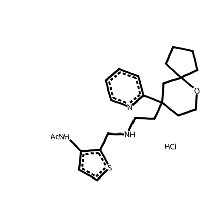 CC(=O)Nc1ccsc1CNCCC1(c2ccccn2)CCOC2(CCCC2)C1.Cl